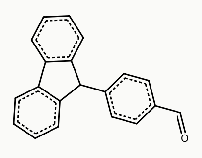 O=Cc1ccc(C2c3ccccc3-c3ccccc32)cc1